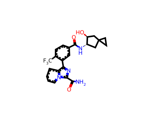 NC(=O)c1nc(-c2cc(C(=O)N[C@H]3CC4(CC4)C[C@@H]3O)ccc2C(F)(F)F)c2ccccn12